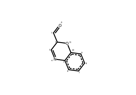 O=CC1C=Nc2ccccc2O1